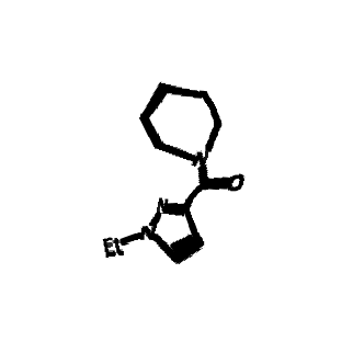 CCn1ccc(C(=O)N2CCCCC2)n1